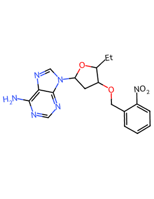 CCC1OC(n2cnc3c(N)ncnc32)CC1OCc1ccccc1[N+](=O)[O-]